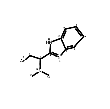 CC(=O)CC(c1nc2ccccc2[nH]1)N(C)C